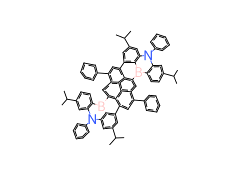 CC(C)c1ccc2c(c1)N(c1ccccc1)c1cc(C(C)C)cc3c1B2c1cc2c(-c4ccccc4)cc4c5c(cc6c(-c7ccccc7)cc-3c1c6c25)B1c2ccc(C(C)C)cc2N(c2ccccc2)c2cc(C(C)C)cc-4c21